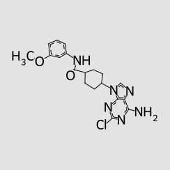 COc1cccc(NC(=O)C2CCC(n3cnc4c(N)nc(Cl)nc43)CC2)c1